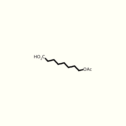 CC(=O)OCCCCCCCC(=O)O